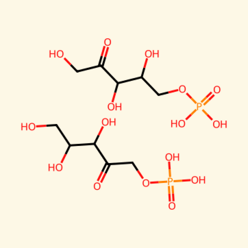 O=C(CO)C(O)C(O)COP(=O)(O)O.O=C(COP(=O)(O)O)C(O)C(O)CO